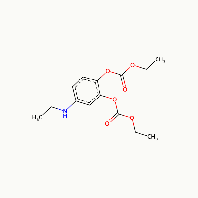 CCNc1ccc(OC(=O)OCC)c(OC(=O)OCC)c1